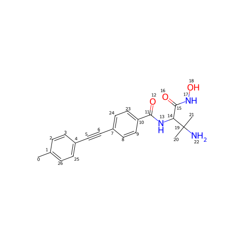 Cc1ccc(C#Cc2ccc(C(=O)NC(C(=O)NO)C(C)(C)N)cc2)cc1